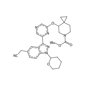 CC(C)(C)OC(=O)N1CCC2(CC2)C(Oc2cncc(-c3nn(C4CCCCO4)c4ccc(CC#N)cc34)n2)C1